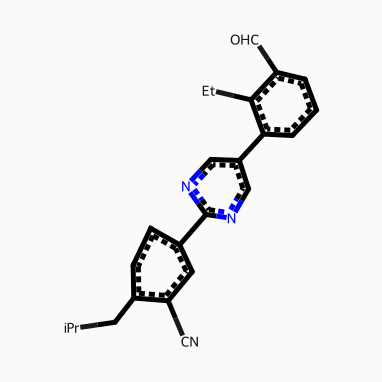 CCc1c(C=O)cccc1-c1cnc(-c2ccc(CC(C)C)c(C#N)c2)nc1